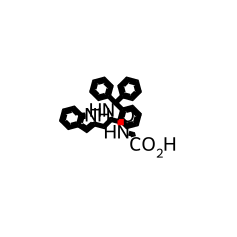 O=C(O)CNC(=O)C(Cc1cc2ccccc2[nH]1)NC(c1ccccc1)(c1ccccc1)c1ccccc1